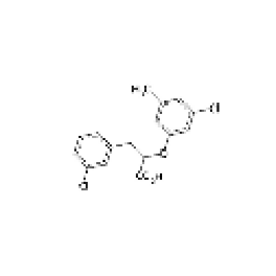 Cc1cc(Cl)cc(OC(Cc2cccc(Cl)c2)C(=O)O)c1